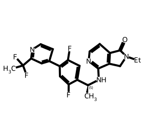 CCN1Cc2c(ccnc2N[C@@H](C)c2cc(F)c(-c3ccnc(C(C)(F)F)c3)cc2F)C1=O